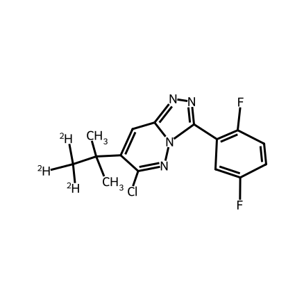 [2H]C([2H])([2H])C(C)(C)c1cc2nnc(-c3cc(F)ccc3F)n2nc1Cl